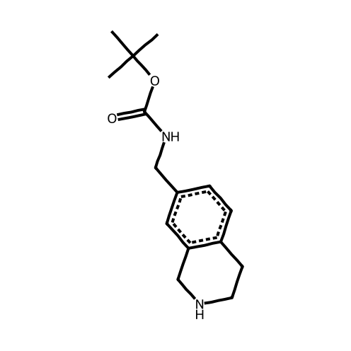 CC(C)(C)OC(=O)NCc1ccc2c(c1)CNCC2